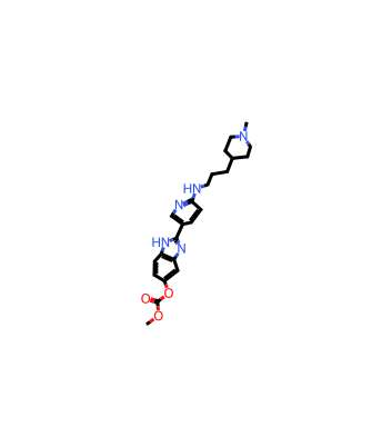 COC(=O)Oc1ccc2[nH]c(-c3ccc(NCCCC4CCN(C)CC4)nc3)nc2c1